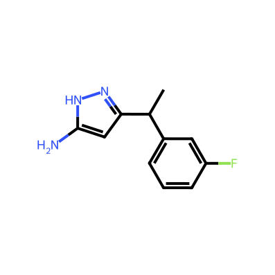 CC(c1cccc(F)c1)c1cc(N)[nH]n1